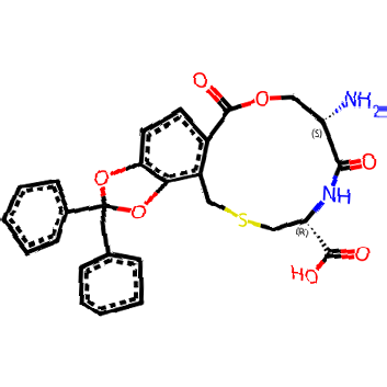 N[C@H]1COC(=O)c2ccc3c(c2CSC[C@@H](C(=O)O)NC1=O)OC(c1ccccc1)(c1ccccc1)O3